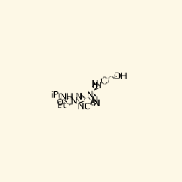 CCC1(C(=O)NC(C)C)CCN(c2ccc(-c3nc(-c4cnn(C5CCC(CCO)CC5)c4)cn4ncc(C#N)c34)cn2)CC1